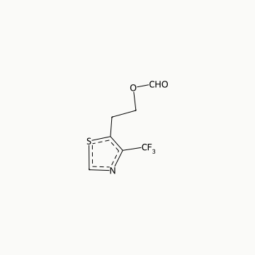 O=COCCc1scnc1C(F)(F)F